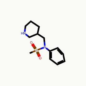 CS(=O)(=O)N(CC1CCCNC1)c1ccccc1